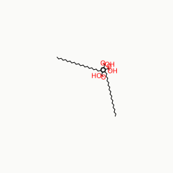 CCCCCCCCCCCCCCCCCCCCc1cc(C(=O)O)c(C(=O)O)c(CCCCCCCCCCCCCCCCCCCC)c1C(=O)O